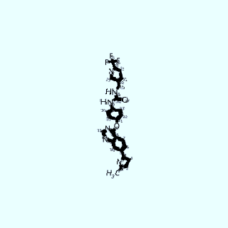 Cn1ccc(-c2ccc3c(Oc4ccc(NC(=O)NCc5ccc(C(F)(F)F)nc5)cc4)ncnc3c2)n1